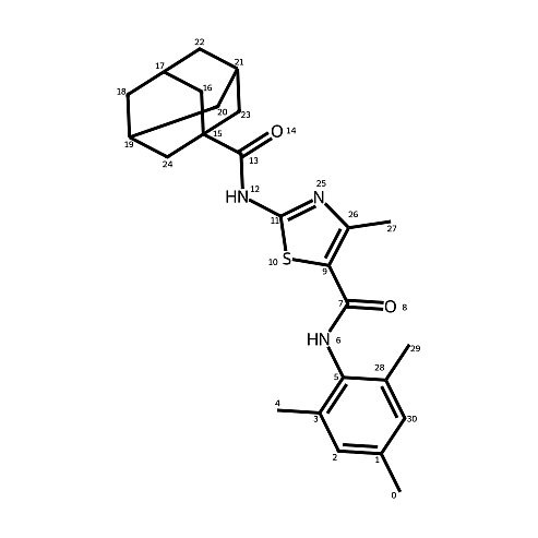 Cc1cc(C)c(NC(=O)c2sc(NC(=O)C34CC5CC(CC(C5)C3)C4)nc2C)c(C)c1